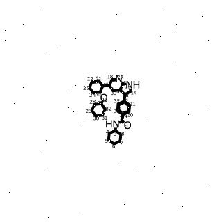 O=C(NC1CCCCC1)c1ccc(C2CNC3N=CC(C4C=CCCC4OC4CCCCC4)CC32)cc1